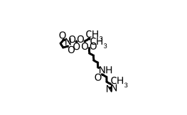 CC(C)C(OC(=O)CCCCCNC(=O)CCC1(C)N=N1)OC(=O)ON1C(=O)CCC1=O